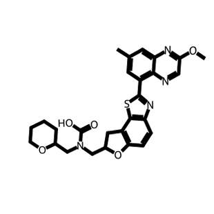 COc1cnc2c(-c3nc4ccc5c(c4s3)CC(CN(CC3CCCCO3)C(=O)O)O5)cc(C)cc2n1